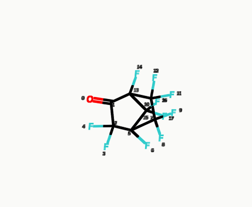 O=C1C(F)(F)C2(F)C(F)(F)C(F)(F)C1(F)C2(F)F